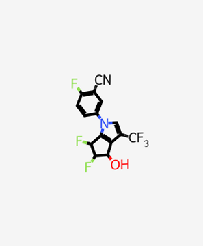 N#Cc1cc(-n2cc(C(F)(F)F)c3c2C(F)C(F)C3O)ccc1F